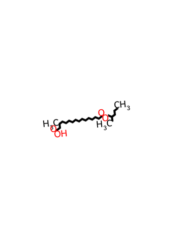 CCCCC(CC)COC(=O)CCCCCCCCCCCCC(C)CC(=O)O